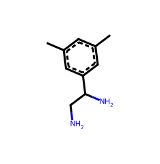 Cc1cc(C)cc(C(N)CN)c1